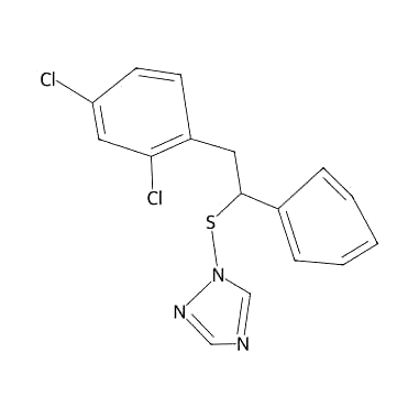 Clc1ccc(CC(Sn2cncn2)c2ccccc2)c(Cl)c1